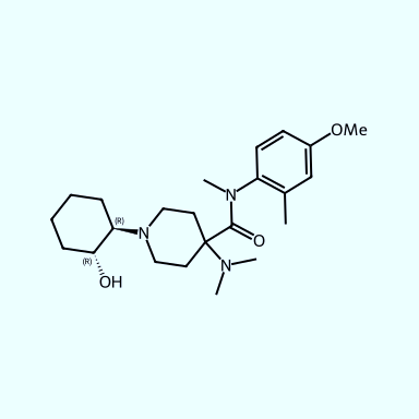 COc1ccc(N(C)C(=O)C2(N(C)C)CCN([C@@H]3CCCC[C@H]3O)CC2)c(C)c1